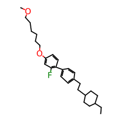 CCC1CCC(CCc2ccc(-c3ccc(OCCCCCCOC)cc3F)cc2)CC1